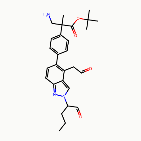 CCCC(C=O)n1cc2c(CC=O)c(-c3ccc(C(C)(CN)C(=O)OC(C)(C)C)cc3)ccc2n1